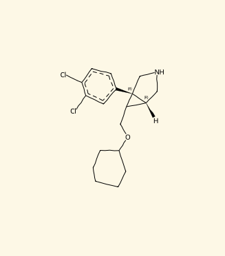 Clc1ccc([C@@]23CNC[C@@H]2C3COC2CCCCC2)cc1Cl